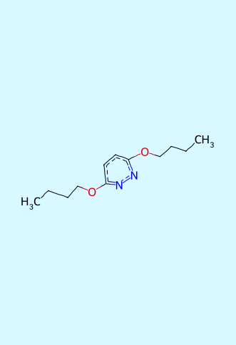 CCCCOc1ccc(OCCCC)nn1